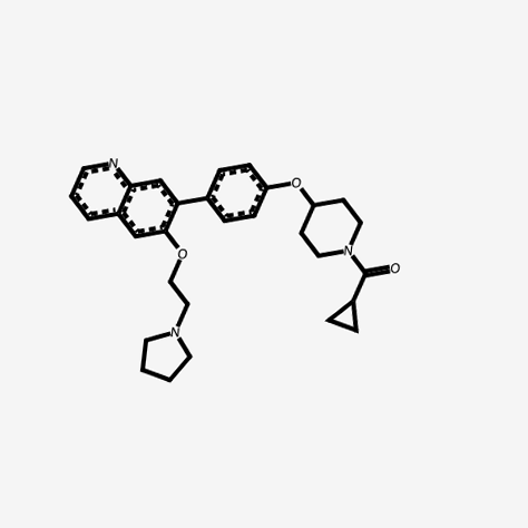 O=C(C1CC1)N1CCC(Oc2ccc(-c3cc4ncccc4cc3OCCN3CCCC3)cc2)CC1